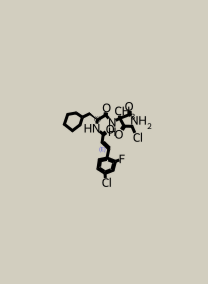 CC(NC(=O)[C@H](CC1CCCCC1)NC(=O)/C=C/c1ccc(Cl)cc1F)(C(N)=O)C(=O)CCl